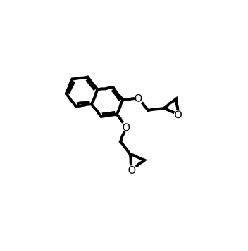 c1ccc2cc(OCC3CO3)c(OCC3CO3)cc2c1